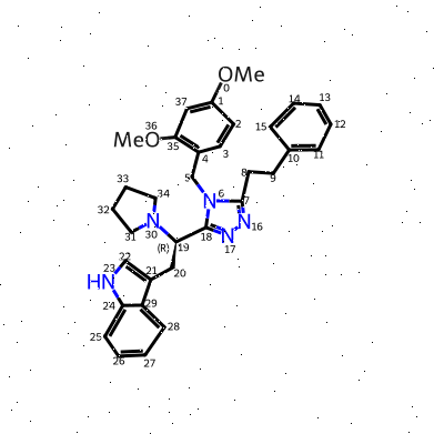 COc1ccc(Cn2c(CCc3ccccc3)nnc2[C@@H](Cc2c[nH]c3ccccc23)N2CCCC2)c(OC)c1